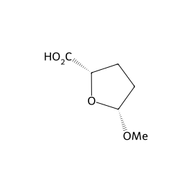 CO[C@H]1CC[C@@H](C(=O)O)O1